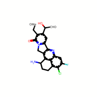 COCc1c(C(O)C=O)cc2n(c1=O)Cc1c-2nc2cc(F)c(Cl)c3c2c1C(N)CC3